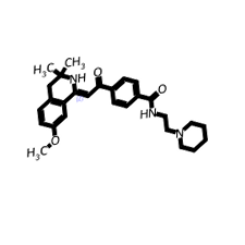 COc1ccc2c(c1)/C(=C/C(=O)c1ccc(C(=O)NCCN3CCCCC3)cc1)NC(C)(C)C2